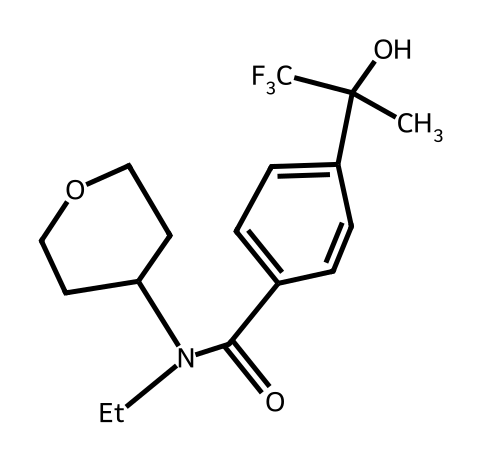 CCN(C(=O)c1ccc(C(C)(O)C(F)(F)F)cc1)C1CCOCC1